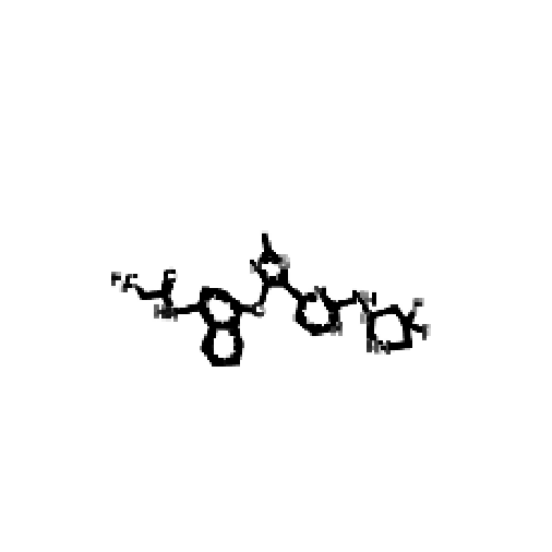 Cc1nc(Oc2ccc(NC(=O)CC(F)(F)F)c3ccccc23)c(-c2ccnc(N[C@@H]3CNCC(F)(F)C3)n2)s1